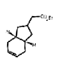 CCOC(=O)CC1C[C@H]2CC=CC[C@H]2C1